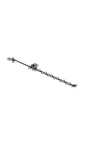 CC(C)(C)OC(=O)CCCCCCCCCCCCCCCCC(=O)NC(CC(=O)NCCOCCOCCOCCOCCOCCOCCOCCOCCOCCOCCOCCN=[N+]=[N-])C(=O)OC(C)(C)C